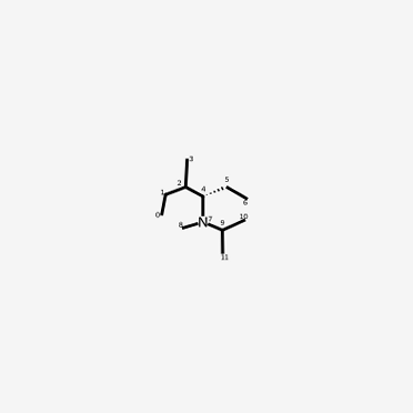 CCC(C)[C@H](CC)N(C)C(C)C